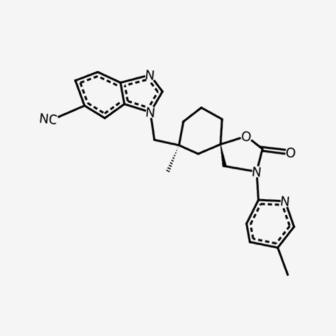 Cc1ccc(N2C[C@@]3(CCC[C@](C)(Cn4cnc5ccc(C#N)cc54)C3)OC2=O)nc1